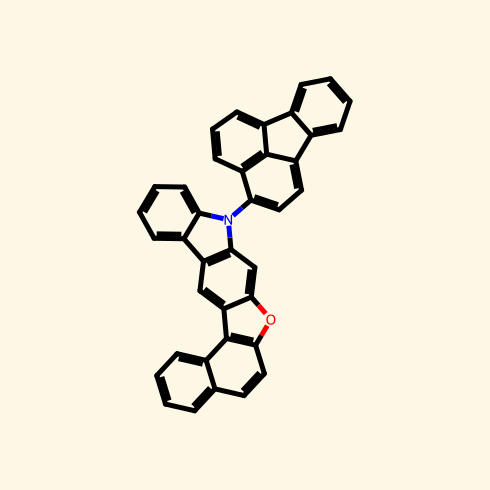 c1ccc2c(c1)-c1cccc3c(-n4c5ccccc5c5cc6c(cc54)oc4ccc5ccccc5c46)ccc-2c13